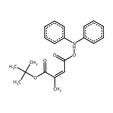 C/C(=C/C(=O)O[SiH](c1ccccc1)c1ccccc1)C(=O)OC(C)(C)C